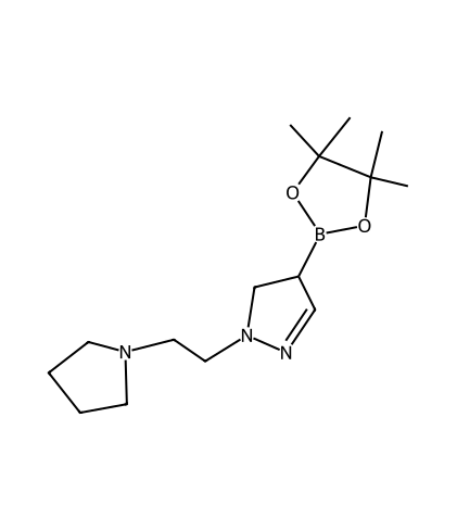 CC1(C)OB(C2C=NN(CCN3CCCC3)C2)OC1(C)C